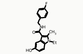 CCn1c(C)c(C(=O)NCc2ccc(F)cc2)c2cc(O)ccc21